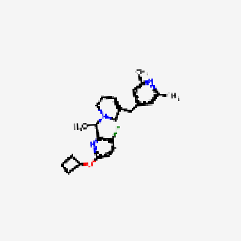 Cc1cc(CC2=CCCN([C@H](C)c3nc(OC4CCC4)ccc3F)C2)cc(C)n1